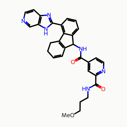 COCCCNC(=O)c1cc(C(=O)NC2C3=C(CCC=C3)c3c(-c4nc5ccncc5[nH]4)cccc32)ccn1